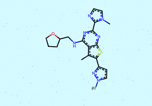 Cc1c(-c2ccn(C(C)C)n2)sc2nc(-c3nccn3C)nc(NCC3CCCO3)c12